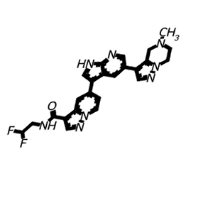 CN1CCn2ncc(-c3cnc4[nH]cc(-c5ccn6ncc(C(=O)NCC(F)F)c6c5)c4c3)c2C1